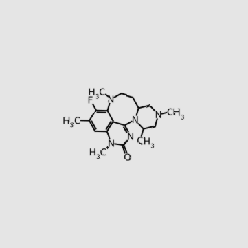 Cc1cc2c3c(nc(=O)n2C)N2C(C)CN(C)CC2CCN(C)c3c1F